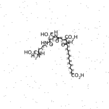 NN[C@@H](CCCCNC(=O)CC[C@H](NC(=O)CC[C@H](NC(=O)CCCCCCCCCCCCC(=O)O)C(=O)O)C(=O)O)C(=O)O